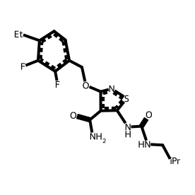 CCc1ccc(COc2nsc(NC(=O)NCC(C)C)c2C(N)=O)c(F)c1F